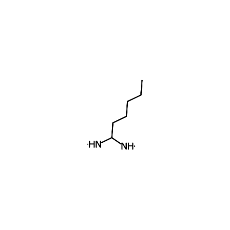 CCCCCC([NH])[NH]